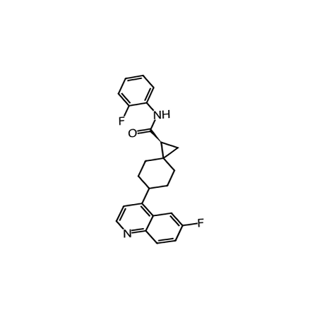 O=C(Nc1ccccc1F)[C@H]1CC12CCC(c1ccnc3ccc(F)cc13)CC2